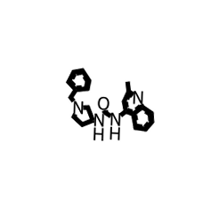 Cc1cc(NC(=O)NC2CCN(Cc3ccccc3)C2)c2ccccc2n1